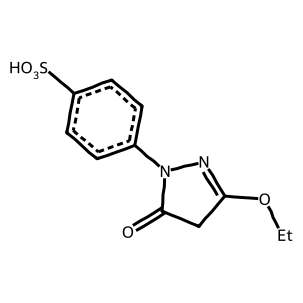 CCOC1=NN(c2ccc(S(=O)(=O)O)cc2)C(=O)C1